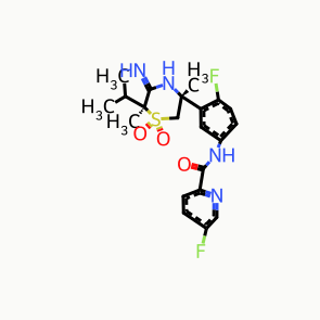 CC(C)[C@@]1(C)C(=N)N[C@](C)(c2cc(NC(=O)c3ccc(F)cn3)ccc2F)CS1(=O)=O